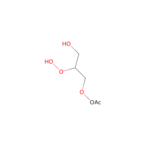 CC(=O)OOCC(CO)OO